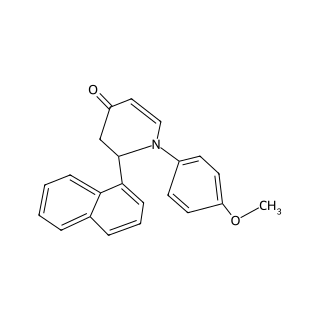 COc1ccc(N2C=CC(=O)CC2c2cccc3ccccc23)cc1